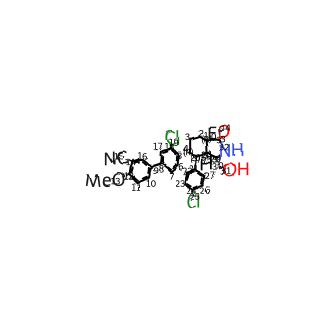 CC[C@@]12CC[C@@H](c3ccc(-c4ccc(OC)c(C#N)c4)cc3Cl)[C@H](c3ccc(Cl)cc3)[C@@H]1[C@@H](CO)NC2=O